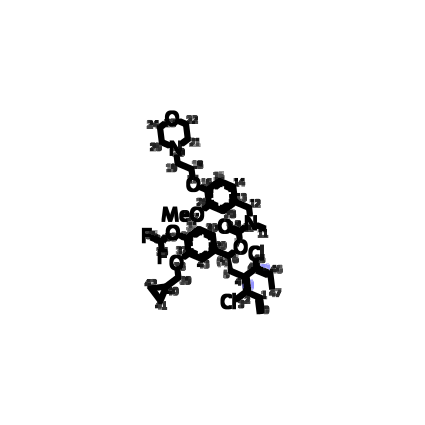 C=C/C(Cl)=C(C[C@H](OC(=O)N(C)Cc1ccc(OCCN2CCOCC2)c(OC)c1)c1ccc(OC(F)F)c(OCC2CC2)c1)\C(Cl)=C/C